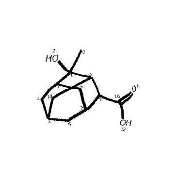 CC1(O)C2CC3CC(C2)C(C(=O)O)C1C3